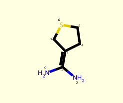 NC(N)=C1CCSC1